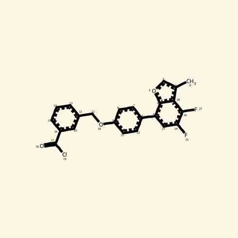 Cc1coc2c(-c3ccc(OCc4cccc(C(=O)Cl)c4)cc3)cc(F)c(F)c12